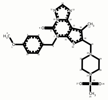 COc1ccc(Cn2c(=O)n3ncnc3c3c(C)c(CN4CCN(S(C)(=O)=O)CC4)sc32)cc1